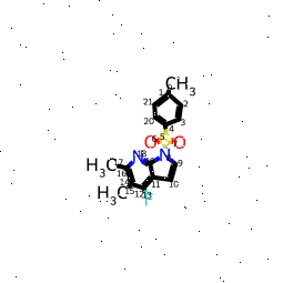 Cc1ccc(S(=O)(=O)n2ccc3c(F)c(C)c(C)nc32)cc1